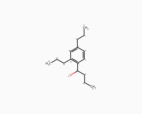 CCCc1ccc(C([O])CCC)c(CCC)c1